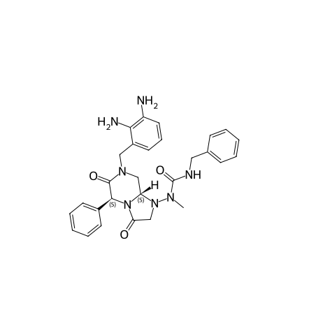 CN(C(=O)NCc1ccccc1)N1CC(=O)N2[C@@H](c3ccccc3)C(=O)N(Cc3cccc(N)c3N)C[C@@H]21